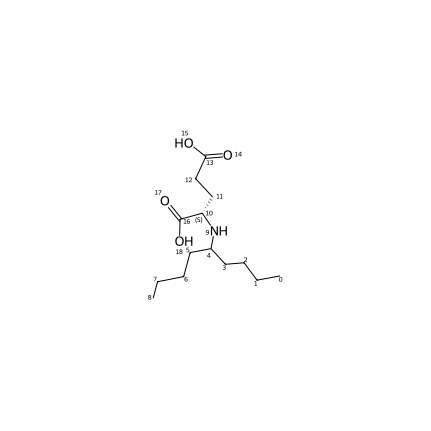 CCCCC(CCCC)N[C@@H](CCC(=O)O)C(=O)O